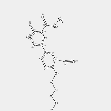 CCCCCOc1ccc(-c2cc(C(=O)NN)c(=O)[nH]n2)cc1C#N